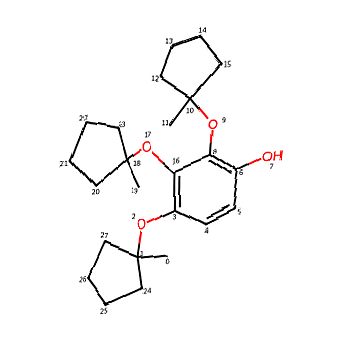 CC1(Oc2ccc(O)c(OC3(C)CCCC3)c2OC2(C)CCCC2)CCCC1